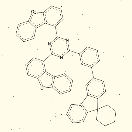 c1cc(-c2ccc3c(c2)-c2ccccc2C32CCCCC2)cc(-c2nc(-c3cccc4oc5ccccc5c34)nc(-c3cccc4oc5ccccc5c34)n2)c1